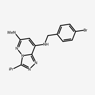 CNc1cc(NCc2ccc(Br)cc2)c2nnc(C(C)C)n2n1